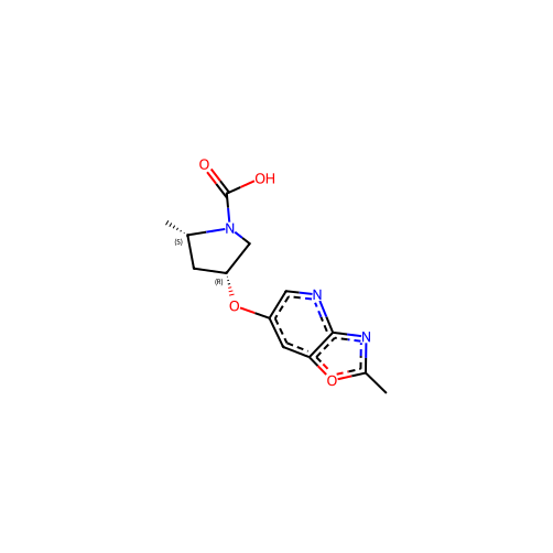 Cc1nc2ncc(O[C@@H]3C[C@H](C)N(C(=O)O)C3)cc2o1